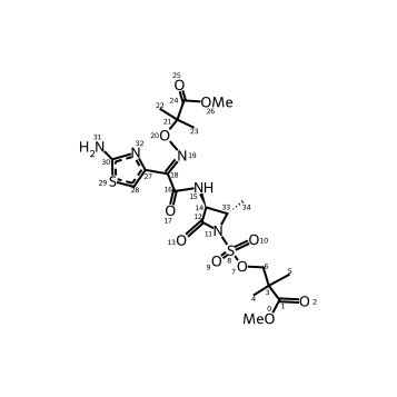 COC(=O)C(C)(C)COS(=O)(=O)N1C(=O)[C@@H](NC(=O)/C(=N/OC(C)(C)C(=O)OC)c2csc(N)n2)[C@@H]1C